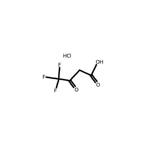 Cl.O=C(O)CC(=O)C(F)(F)F